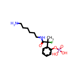 CC(F)(C(=O)NCCCCCCN)c1ccccc1OP(=O)(O)O